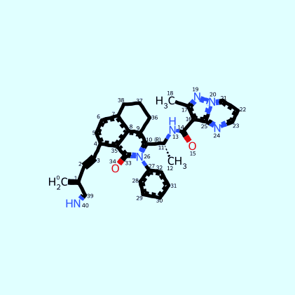 C=C(C#Cc1ccc2c3c(c([C@@H](C)NC(=O)c4c(C)nn5cccnc45)n(-c4ccccc4)c(=O)c13)CCC2)C=N